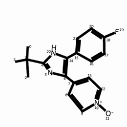 CC(C)(C)c1nc(-c2cc[n+]([O-])cc2)c(-c2ccc(F)cc2)[nH]1